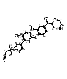 COc1cc(C(=O)C2CNCCO2)ccc1Nc1ncc(Cl)c(-c2cnn(C(C)(C)CC#N)c2)n1